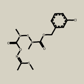 CSC(C)=NOC(=O)N(C)SN(C)C(=O)OCc1cccc(Cl)c1